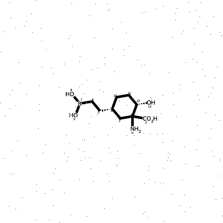 NC1(C(=O)O)C[C@H](CCB(O)O)CC[C@@H]1O